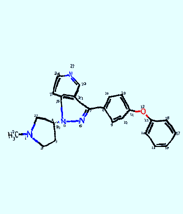 CN1CC[C@@H](n2nc(-c3ccc(Oc4ccccc4)cc3)c3cnccc32)C1